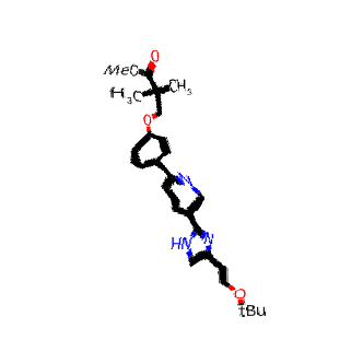 COC(=O)C(C)(C)COc1ccc(-c2ccc(-c3nc(CCOC(C)(C)C)c[nH]3)cn2)cc1